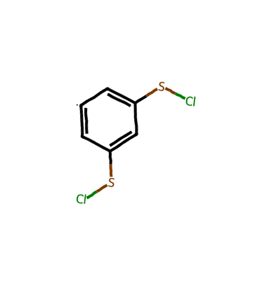 ClSc1c[c]cc(SCl)c1